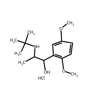 COc1ccc(OC)c(C(O)C(C)NC(C)(C)C)c1.Cl